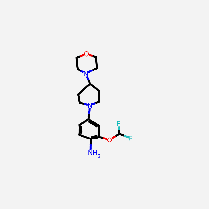 Nc1ccc(N2CCC(N3CCOCC3)CC2)cc1OC(F)F